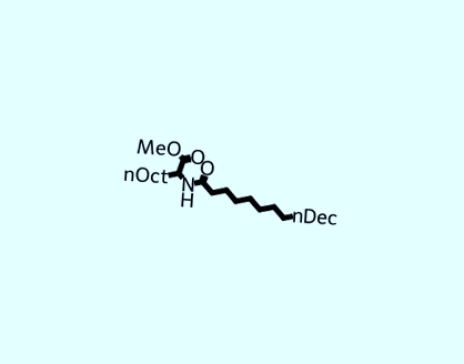 CCCCCCCCCCCCCCCCCC(=O)NC(CCCCCCCC)C(=O)OC